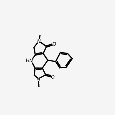 CN1CC2=C(C1=O)C(c1ccccc1)C1=C(CN(C)C1=O)N2